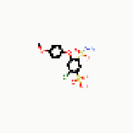 COc1ccc(Oc2cc(Cl)c(S(=O)(=O)O)cc2S(N)(=O)=O)cc1